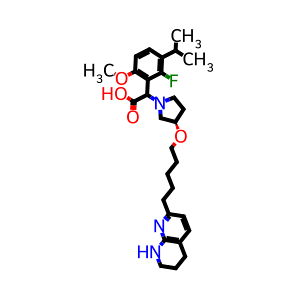 COc1ccc(C(C)C)c(F)c1C(C(=O)O)N1CC[C@@H](OCCCCCc2ccc3c(n2)NCCC3)C1